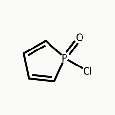 O=P1(Cl)C=CC=C1